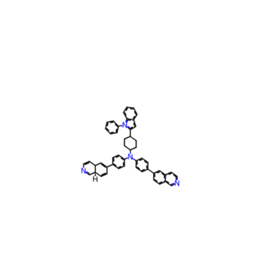 C1=CC2C=C(c3ccc(N(c4ccc(-c5ccc6cnccc6c5)cc4)C4CCC(c5cc6ccccc6n5-c5ccccc5)CC4)cc3)C=C[C@@H]2C=N1